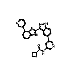 O=C(Nc1cncc(-c2cnc3[nH]nc(-c4nc5c(-c6cccnc6)cccc5[nH]4)c3c2)c1)C1CCC1